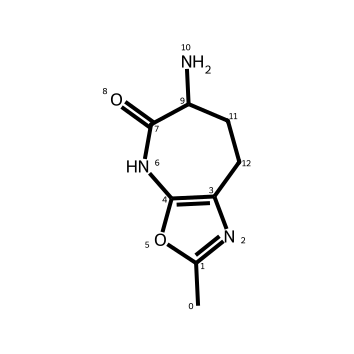 Cc1nc2c(o1)NC(=O)C(N)CC2